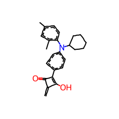 C=C1C(=O)C(c2ccc(N(c3ccc(C)cc3C)C3CCCCC3)cc2)=C1O